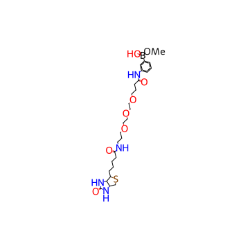 COB(O)c1cccc(NC(=O)CCCOCCOCCOCCCNC(=O)CCCCC2SCC3NC(=O)NC32)c1